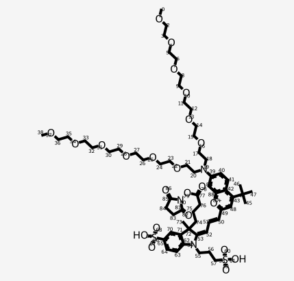 COCCOCCOCCOCCOCCOCCN(CCOCCOCCOCCOCCOCCOC)c1ccc2c(C(C)(C)C)cc(/C=C/C=C3/N(CCCS(=O)(=O)O)c4ccc(S(=O)(=O)O)cc4C3(C)CCCC(=O)ON3C(=O)CCC3=O)[o+]c2c1